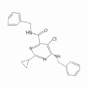 O=C(NCc1ccccc1)c1nc(C2CC2)nc(NCc2ccccc2)c1Cl